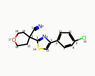 N#CC1(c2nc(-c3ccc(Cl)cc3)cs2)CCOCC1